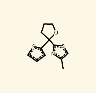 Cc1csc(C2(c3cccs3)CCCO2)n1